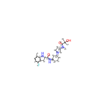 Cc1ccc(F)c2c1NC(C(=O)N[C@@H]1CCC[C@H](N3CC[C@@H](N(C)C(=O)C(C)(C)O)C3)C1)C2